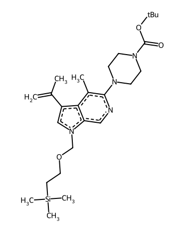 C=C(C)c1cn(COCC[Si](C)(C)C)c2cnc(N3CCN(C(=O)OC(C)(C)C)CC3)c(C)c12